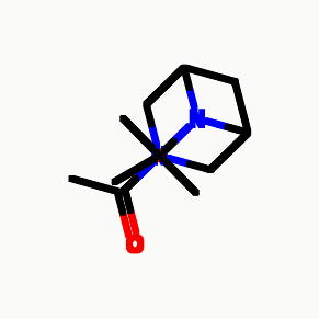 CC(=O)N1CC2CC(C1)N2C(C)(C)C